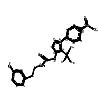 O=C(NCCc1cccc(Cl)c1)Oc1cnn(-c2ccc([N+](=O)[O-])cc2)c1C(F)(F)F